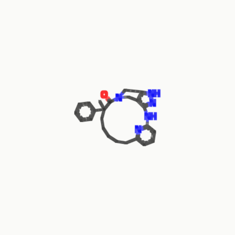 CC1(c2ccccc2)CCCCCc2cccc(n2)Nc2n[nH]c3c2CN(C3)C1=O